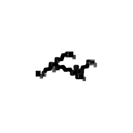 CCCOC(OCCC)[SiH2]CCCOP(C)(=O)OCCC